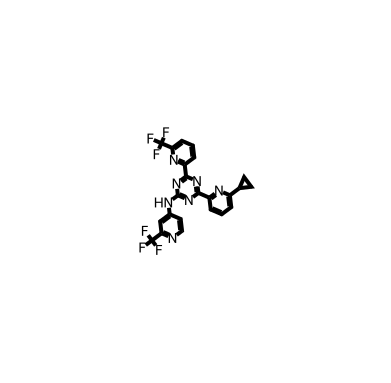 FC(F)(F)c1cc(Nc2nc(-c3cccc(C4CC4)n3)nc(-c3cccc(C(F)(F)F)n3)n2)ccn1